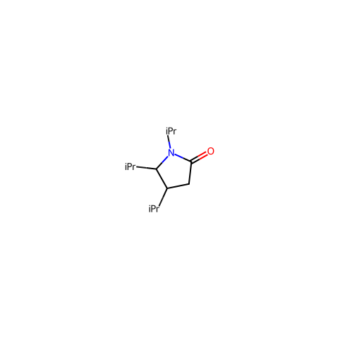 CC(C)C1CC(=O)N(C(C)C)C1C(C)C